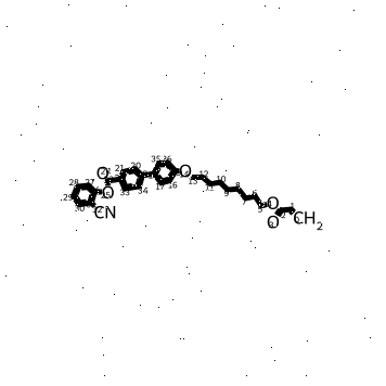 C=CC(=O)OCCCCCCCCCOc1ccc(-c2ccc(C(=O)Oc3ccccc3C#N)cc2)cc1